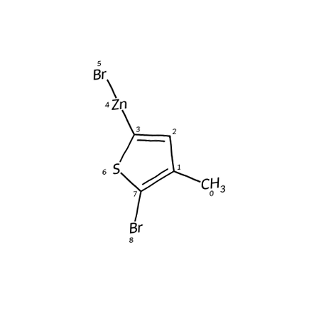 Cc1c[c]([Zn][Br])sc1Br